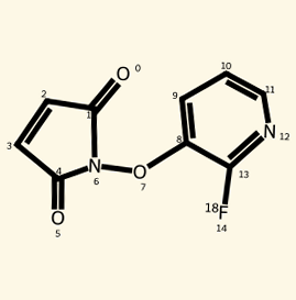 O=C1C=CC(=O)N1Oc1cccnc1[18F]